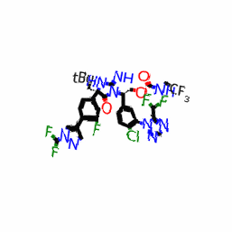 CC(C)(C)C[C@]1(c2ccc(-c3cnn(C(F)F)c3)c(F)c2)NC(=N)N([C@H](COC(=O)NCC(F)(F)F)c2ccc(Cl)c(-n3ncnc3C(F)F)c2)C1=O